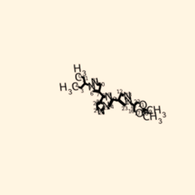 CCC(CC)n1cc(-c2nc(-c3cnn(C4COC(C)(C)OC4)c3)cn3nccc23)cn1